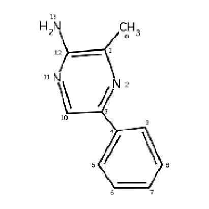 Cc1nc(-c2ccccc2)cnc1N